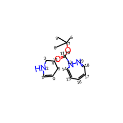 C1=CNCCC1.CC(C)(C)OC(=O)N1C=CC=CC=N1